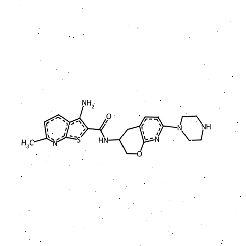 Cc1ccc2c(N)c(C(=O)NC3COc4nc(N5CCNCC5)ccc4C3)sc2n1